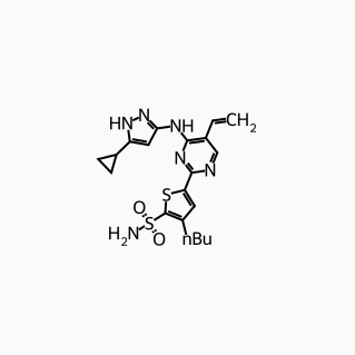 C=Cc1cnc(-c2cc(CCCC)c(S(N)(=O)=O)s2)nc1Nc1cc(C2CC2)[nH]n1